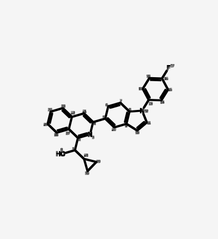 OC(c1nc(-c2ccc3c(ccn3-c3ccc(F)cc3)c2)cc2ccccc12)C1CC1